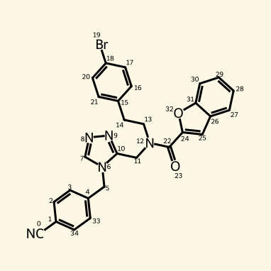 N#Cc1ccc(Cn2cnnc2CN(CCc2ccc(Br)cc2)C(=O)c2cc3ccccc3o2)cc1